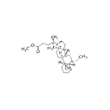 CC[C@H]1C[C@@H]2[C@H](CC[C@]3(C)[C@@H]([C@H](C)CCC(=O)OC)CC[C@@H]23)[C@@]2(C)CCCC[C@@H]12